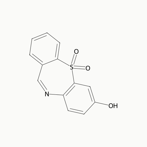 O=S1(=O)c2ccccc2C=Nc2ccc(O)cc21